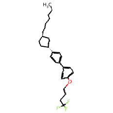 CCCCCCC[C@H]1CC[C@H](c2ccc(-c3ccc(OCCCC(F)(F)F)cc3)cc2)CC1